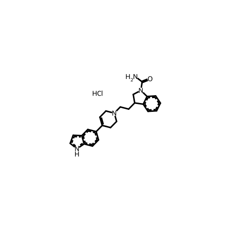 Cl.NC(=O)N1CC(CCN2CC=C(c3ccc4[nH]ccc4c3)CC2)c2ccccc21